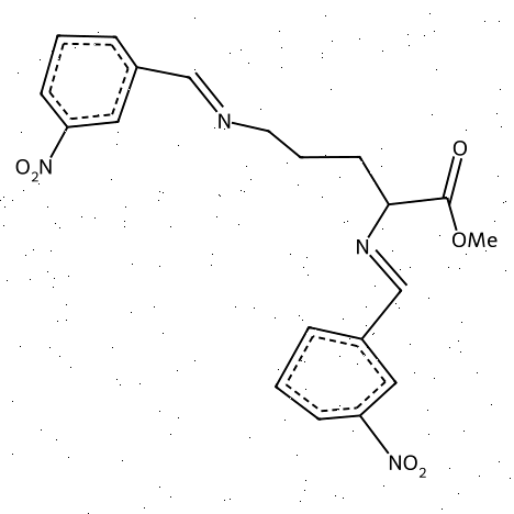 COC(=O)C(CCCN=Cc1cccc([N+](=O)[O-])c1)N=Cc1cccc([N+](=O)[O-])c1